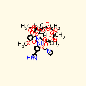 COc1cccc(CN(CCOC(=O)[C@H](C)OC(=O)[C@H](C)OC(=O)[C@H](C)OC(=O)[C@H](C)OC(=O)[C@H](C)OC(=O)[C@H](C)OC(C)=O)C(=O)Nc2ccc(-c3cn[nH]c3)cc2OCCN2CCCC2)c1